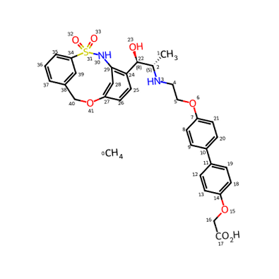 C.C[C@H](NCCOc1ccc(-c2ccc(OCC(=O)O)cc2)cc1)[C@H](O)c1ccc2cc1NS(=O)(=O)c1cccc(c1)CO2